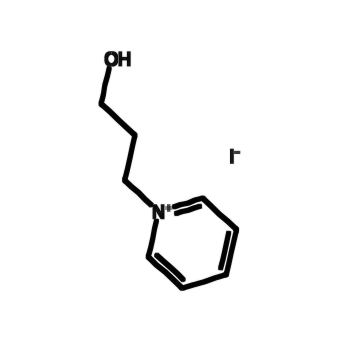 OCCC[n+]1ccccc1.[I-]